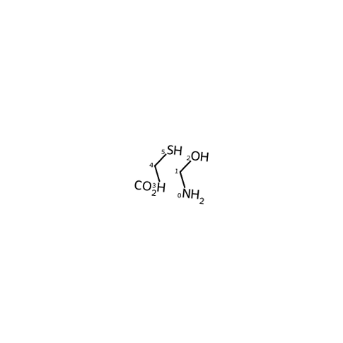 NCO.O=C(O)CS